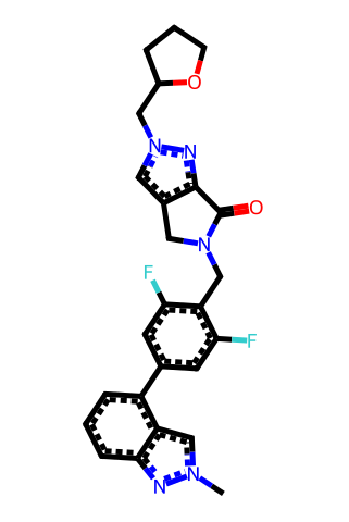 Cn1cc2c(-c3cc(F)c(CN4Cc5cn(CC6CCCO6)nc5C4=O)c(F)c3)cccc2n1